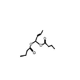 CC=CC(OC(=O)CCC)OC(=O)CCC